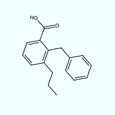 CCCc1cccc(C(=O)O)c1Cc1ccccc1